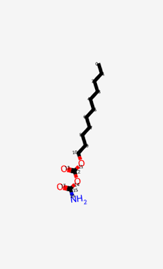 CCCCCCCCCCCOC(=O)OC(N)=O